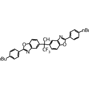 CCCCc1ccc(-c2nc3cc(C(C)(c4ccc5oc(-c6ccc(CCCC)cc6)nc5c4)C(F)(F)F)ccc3o2)cc1